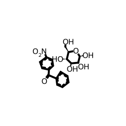 O=C(c1ccccc1)c1ccc([N+](=O)[O-])cc1.OC[C@H]1O[C@H](O)[C@@H](O)[C@@H](O)[C@@H]1O